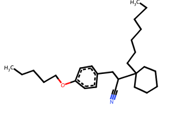 CCCCCCCC1(C(C#N)Cc2ccc(OCCCCC)cc2)CCCCC1